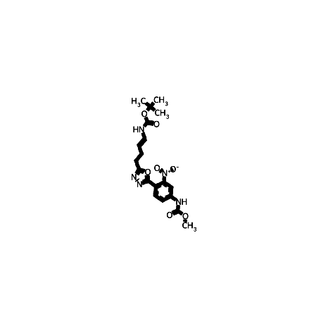 COC(=O)Nc1ccc(-c2nnc(CCC=CNC(=O)OC(C)(C)C)o2)c([N+](=O)[O-])c1